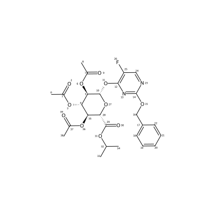 CC(=O)O[C@@H]1[C@@H](OC(C)=O)[C@H](Oc2nc(OCc3ccccc3)ncc2F)O[C@H](C(=O)OC(C)C)[C@H]1OC(C)=O